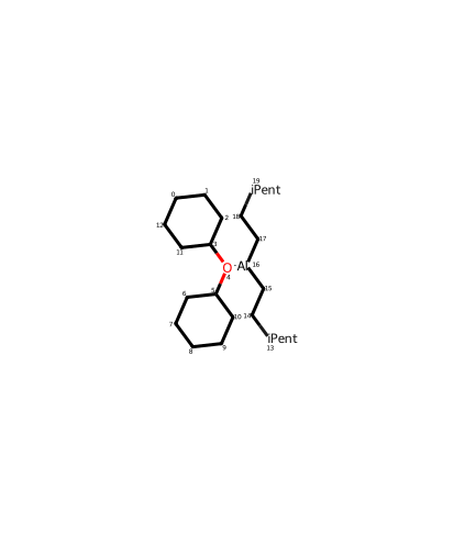 C1CCC(OC2CCCCC2)CC1.CCCC(C)C[CH2][Al][CH2]CC(C)CCC